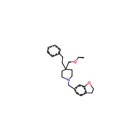 CCOCC1(CCc2ccccc2)CCN(Cc2ccc3c(c2)OCC3)CC1